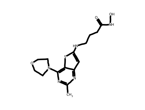 Cc1nc(N2CCOCC2)c2sc(NCCCC(=O)NO)cc2n1